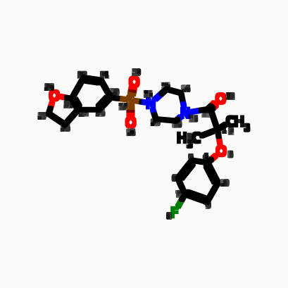 CC(C)(Oc1ccc(F)cc1)C(=O)N1CCN(S(=O)(=O)c2ccc3c(c2)CCO3)CC1